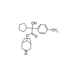 Cc1ccc(C(O)(C(=O)OC2C3CCC2CNC3)C2CCCC2)cc1